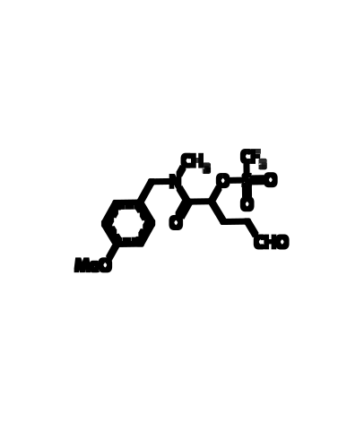 COc1ccc(CN(C)C(=O)C(CCC=O)OS(=O)(=O)C(F)(F)F)cc1